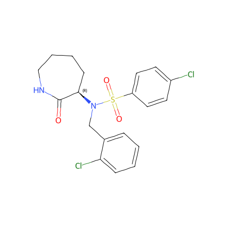 O=C1NCCCC[C@H]1N(Cc1ccccc1Cl)S(=O)(=O)c1ccc(Cl)cc1